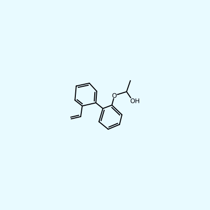 C=Cc1ccccc1-c1ccccc1OC(C)O